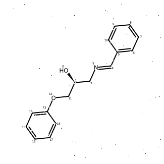 O[C@@H](CN=Cc1ccccc1)COc1ccccc1